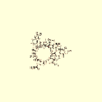 C#CC[C@H](NC(=O)CNC(=O)[C@H](CC(C)C)NC(=O)[C@@H]1CCCN1C(=O)[C@@H]1CSSC[C@H](N)C(=O)N[C@@H](Cc2ccc(OS(=O)(=O)F)cc2)C(=O)N[C@@H]([C@@H](C)CC)C(=O)N[C@@H](CCC(N)=O)C(=O)N[C@@H](CC(N)=O)C(=O)N1)C(=O)NCC(=O)O